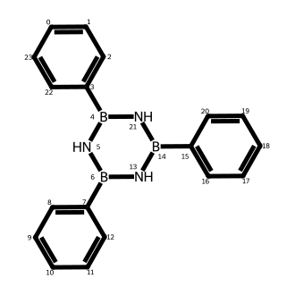 c1ccc(B2NB(c3ccccc3)NB(c3ccccc3)N2)cc1